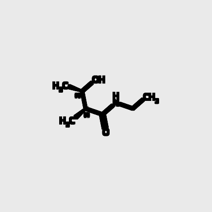 CCNC(=O)[C@@H](C)[C@@H](C)O